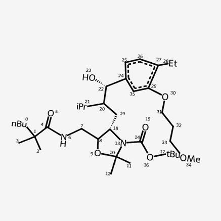 CCCCC(C)(C)C(=O)NCC1OC(C)(C)N(C(=O)OC(C)(C)C)[C@H]1CC(C(C)C)[C@H](O)c1ccc(CC)c(OCCCOC)c1